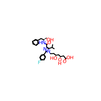 CC(C)c1c(C(=O)N[C@H](CO)Cc2ccccc2)nc(-c2ccc(F)cc2)n1CC[C@@H](O)C[C@@H](O)CC(=O)O